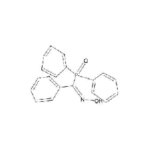 O=P(C(=NO)c1ccccc1)(c1ccccc1)c1ccccc1